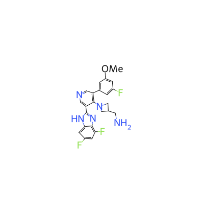 COc1cc(F)cc(-c2cncc(-c3nc4c(F)cc(F)cc4[nH]3)c2N2CC(CN)C2)c1